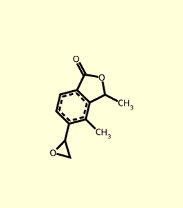 Cc1c(C2CO2)ccc2c1C(C)OC2=O